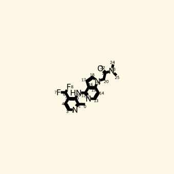 Cc1nccc(C(F)F)c1Nc1nccc2c1ccn2CC(=O)N(C)C